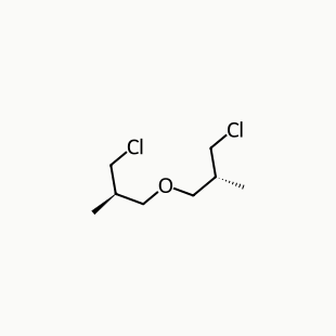 C[C@@H](CCl)COC[C@@H](C)CCl